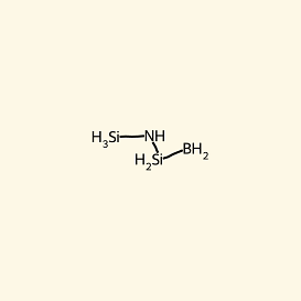 B[SiH2]N[SiH3]